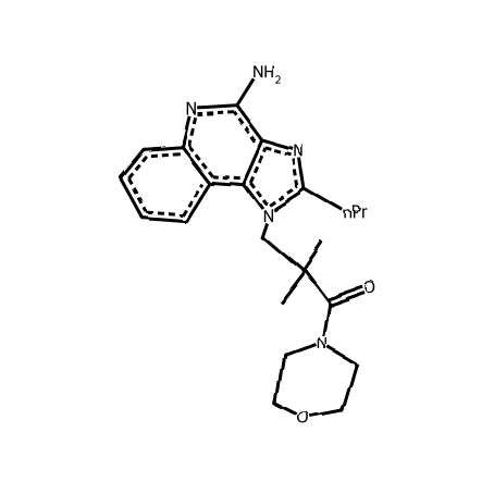 CCCc1nc2c(N)nc3ccccc3c2n1CC(C)(C)C(=O)N1CCOCC1